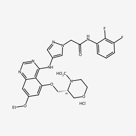 CCOc1cc(OC[C@H]2COCCN2C(=O)O)c2c(Nc3cnn(CC(=O)Nc4cccc(F)c4F)c3)ncnc2c1.Cl